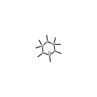 CN1[SiH](C)N(C)[Si](C)(C)N(C)[Si]1(C)C